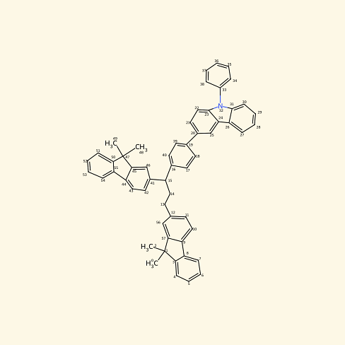 CC1(C)c2ccccc2-c2ccc(CCC(c3ccc(-c4ccc5c(c4)c4ccccc4n5-c4ccccc4)cc3)c3ccc4c(c3)C(C)(C)c3ccccc3-4)cc21